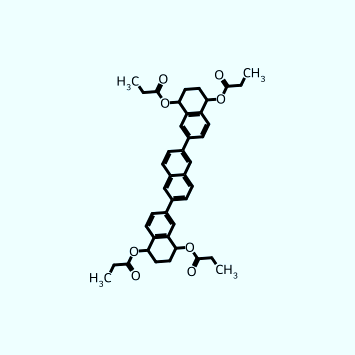 CCC(=O)OC1CCC(OC(=O)CC)c2cc(-c3ccc4cc(-c5ccc6c(c5)C(OC(=O)CC)CCC6OC(=O)CC)ccc4c3)ccc21